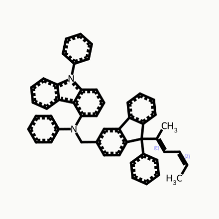 C/C=C\C=C(/C)C1(c2ccccc2)c2ccccc2-c2cc(CN(c3ccccc3)c3cccc4c3c3ccccc3n4-c3ccccc3)ccc21